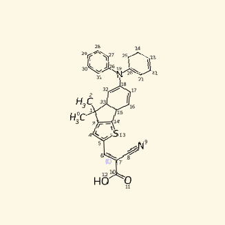 CC1(C)c2cc(/C=C(\C#N)C(=O)O)sc2C2C=CC(N(C3=CC=CCC3)c3ccccc3)=CC21